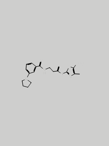 CCOC(=O)c1sc(NC(=O)CCNC(=O)c2cccc(N3CCCC3)c2)nc1C